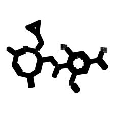 C=Nc1cc(C(=C)CC)cc(CC)c1N(C)C/C1=C/C(=C)/C=C\C(C)=N/N1CC1CC1